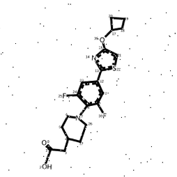 O=C(O)CC1CCN(c2c(F)cc(-c3nc(OC4CCC4)cs3)cc2F)CC1